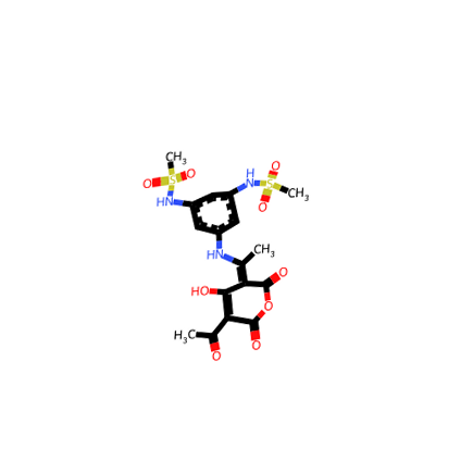 CC(=O)C1=C(O)C(=C(C)Nc2cc(NS(C)(=O)=O)cc(NS(C)(=O)=O)c2)C(=O)OC1=O